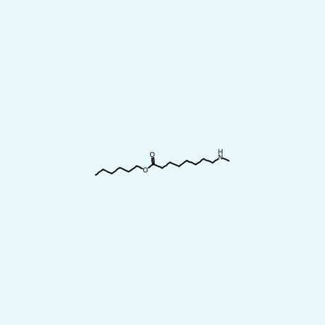 CCCCCCOC(=O)CCCCCCCNC